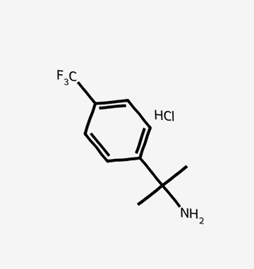 CC(C)(N)c1ccc(C(F)(F)F)cc1.Cl